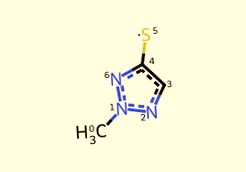 Cn1ncc([S])n1